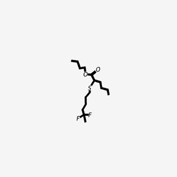 CCCCOC(=O)C(CCCC)SCCCCC(C)(F)F